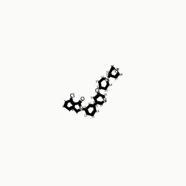 O=C1c2c(Cl)cccc2CN1c1cccc(-c2cncc(OC3CCN(c4ccncc4)CC3)c2)c1